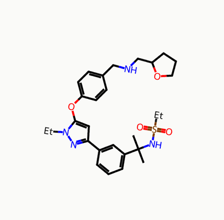 CCn1nc(-c2cccc(C(C)(C)NS(=O)(=O)CC)c2)cc1Oc1ccc(CNCC2CCCO2)cc1